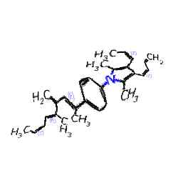 C=C/C=C\c1c(/C=C\C)c(C)n(-c2ccc(/C(C)=C/C(=C)/C(C)=C/C=C\C)cc2)c1C